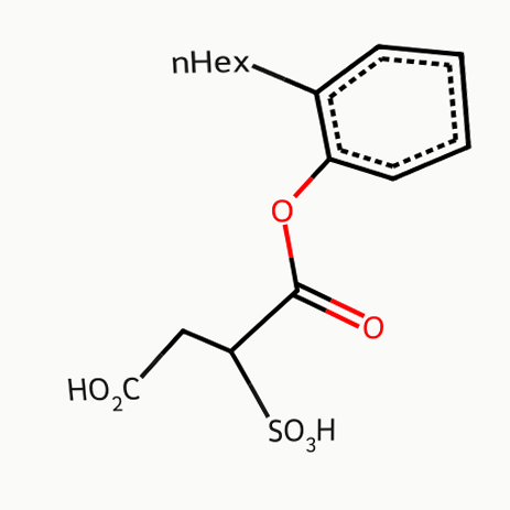 CCCCCCc1ccccc1OC(=O)C(CC(=O)O)S(=O)(=O)O